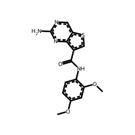 COc1ccc(NC(=O)c2csc3cnc(N)nc23)c(OC)c1